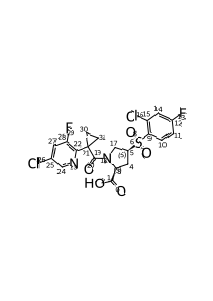 O=C(O)[C@@H]1C[C@H](S(=O)(=O)c2ccc(F)cc2Cl)CN1C(=O)C1(c2ncc(Cl)cc2F)CC1